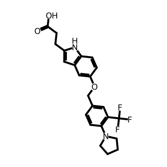 O=C(O)CCc1cc2cc(OCc3ccc(N4CCCC4)c(C(F)(F)F)c3)ccc2[nH]1